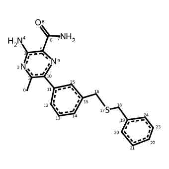 Cc1nc(N)c(C(N)=O)nc1-c1cccc(CSCc2ccccc2)c1